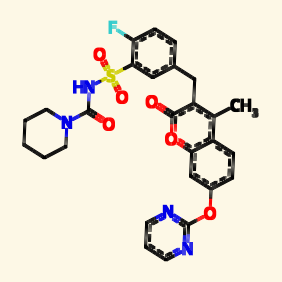 Cc1c(Cc2ccc(F)c(S(=O)(=O)NC(=O)N3CCCCC3)c2)c(=O)oc2cc(Oc3ncccn3)ccc12